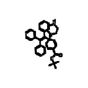 CC(C)(C)OC(=O)C1=CCC(C(=C(c2ccccc2)c2ccccc2)c2ccccc2)(N2CCNCC2)C=C1